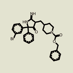 N=C1NC(c2ccccc2)(c2cccc(Br)c2)C(=O)C1CC1CCN(C(=O)OCc2ccccc2)CC1